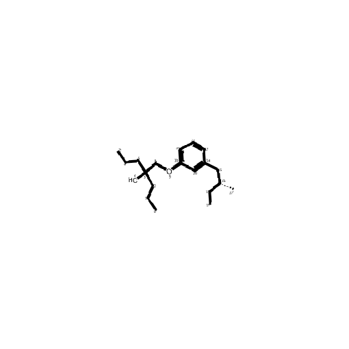 CCCC(O)(CCC)COc1cccc(C[C@H](C)CC)c1